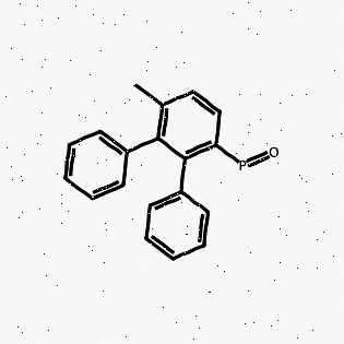 Cc1ccc(P=O)c(-c2ccccc2)c1-c1ccccc1